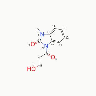 Cn1c(=O)n(C(=O)CCO)c2ccccc21